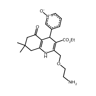 CCOC(=O)C1=C(COCCN)NC2=C(C(=O)CC(C)(C)C2)C1c1ccc[n+]([O-])c1